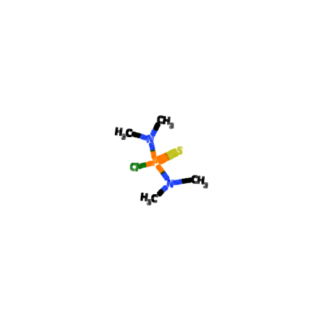 CN(C)P(=S)(Cl)N(C)C